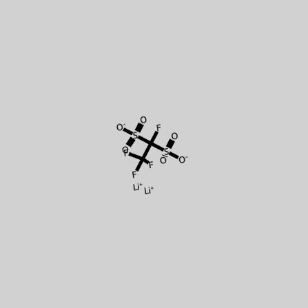 O=S(=O)([O-])C(F)(C(F)(F)F)S(=O)(=O)[O-].[Li+].[Li+]